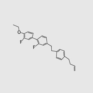 C=CCCc1ccc(CCc2ccc(-c3ccc(OCC)c(F)c3)c(F)c2)cc1